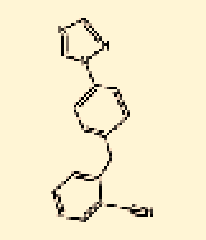 N#Cc1c[c]ccc1Cc1ccc(-n2cncn2)cc1